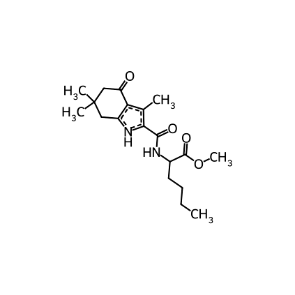 CCCCC(NC(=O)c1[nH]c2c(c1C)C(=O)CC(C)(C)C2)C(=O)OC